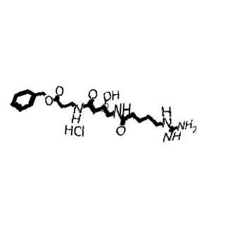 Cl.N=C(N)NCCCCC(=O)NC[C@@H](O)CC(=O)NCCC(=O)OCc1ccccc1